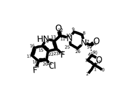 CC1(C)C[C@H](C(=O)N2CCN(C(=O)c3[nH]c4ccc(F)c(Cl)c4c3F)CC2)O1